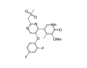 COc1c(C)c(-c2nc(CS(C)(=O)=O)ncc2Oc2ccc(F)cc2F)c[nH]c1=O